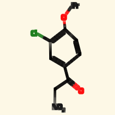 CC(C)Oc1ccc(C(=O)C[N+](=O)[O-])cc1Cl